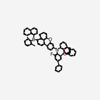 Cc1cccc(C)c1B(c1cccc2ccccc12)c1ccc2c3c(cccc13)Oc1cc(N(c3c(F)cc(-c4ccccc4)cc3-c3ccccc3)c3cccc4c3oc3ccccc34)ccc1-2